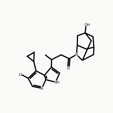 CC(CC(=O)N1C2CC3CC1CC(O)(C3)C2)c1c[nH]c2ncc(Cl)c(C3CC3)c12